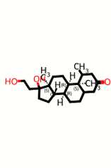 CC1CC(=O)CC2CC[C@@H]3[C@@H](CC[C@@]4(C)[C@H]3CCC4(O)CCO)[C@@]12C